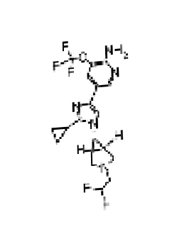 Nc1ncc(-c2cn([C@@H]3[C@@H]4CN(CC(F)F)C[C@@H]43)c(C3CC3)n2)cc1OC(F)(F)F